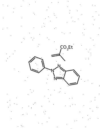 C=C(C)C(=O)OCC.c1ccc(-n2nc3ccccc3n2)cc1